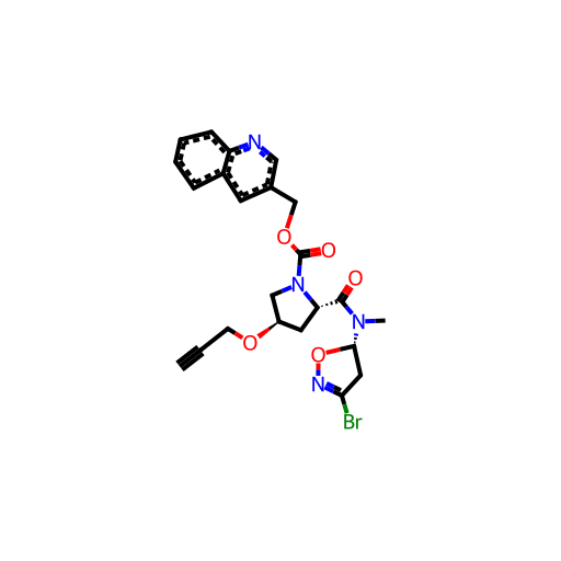 C#CCO[C@@H]1C[C@@H](C(=O)N(C)[C@@H]2CC(Br)=NO2)N(C(=O)OCc2cnc3ccccc3c2)C1